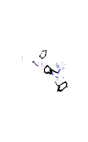 C=CCN(C1CCCC1)S(=O)(=O)c1ccc2c(c1)c(N(CC)CC)nn2Cc1ccc(F)cc1